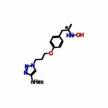 CCCCCCc1cn(CCCOc2ccc(C[C@@H](C)NO)cc2)nn1